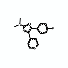 CN(C)c1nc(-c2ccncc2)c(-c2ccc(F)cc2)o1